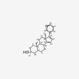 C[C@]1(O)CC[C@@]2(C)C(CCC3C4=CC=C(c5cccnc5)[C@@]4(C)CCC32)C1